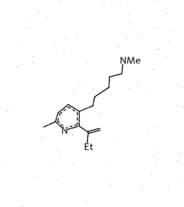 C=C(CC)c1nc(C)ccc1CCCCCNC